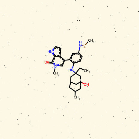 CCC1(Nc2ccc(NSC)cc2-c2cn(C)c(=O)c3[nH]ccc23)CC2CC(C)CC(O)(C2)C1